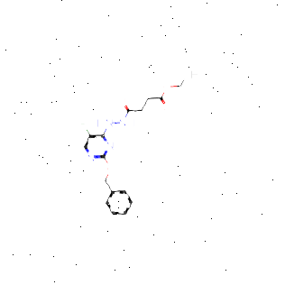 CCOC(=O)CCC(=O)NNc1nc(OCc2ccccc2)ncc1F